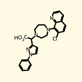 O=C(O)C(c1ccn(-c2ccccc2)n1)N1CCCN(c2c(Cl)ccc3cccnc23)CC1